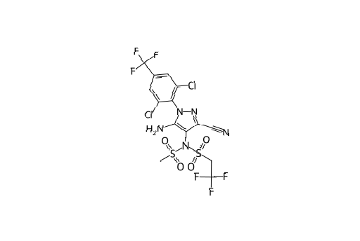 CS(=O)(=O)N(c1c(C#N)nn(-c2c(Cl)cc(C(F)(F)F)cc2Cl)c1N)S(=O)(=O)CC(F)(F)F